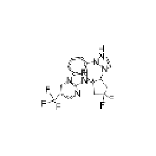 [CH]c1ccccc1N1NC=CN1C1CC(F)(F)CC1Nc1ncc(C(F)(F)F)cn1